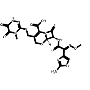 CON=C(C(=O)N[C@@H]1C(=O)N2C(C(=O)O)=C(CSc3n[nH]c(=O)c(=O)n3C)CS[C@H]12)c1c[se]c(N)n1